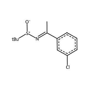 CC(=N[S+]([O-])C(C)(C)C)c1cccc(Cl)c1